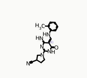 Cc1ccccc1N/C=C1\C(=N)N=C(N2CCC(C#N)C2)NC1=O